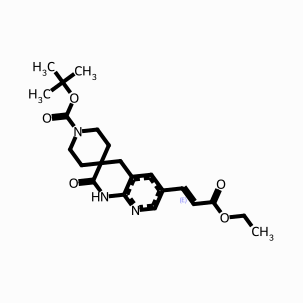 CCOC(=O)/C=C/c1cnc2c(c1)CC1(CCN(C(=O)OC(C)(C)C)CC1)C(=O)N2